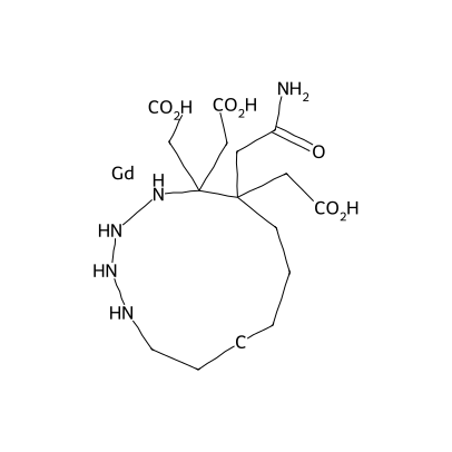 NC(=O)CC1(CC(=O)O)CCCCCCNNNNC1(CC(=O)O)CC(=O)O.[Gd]